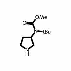 COC(=O)N(C1CCNC1)C(C)(C)C